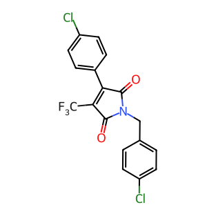 O=C1C(c2ccc(Cl)cc2)=C(C(F)(F)F)C(=O)N1Cc1ccc(Cl)cc1